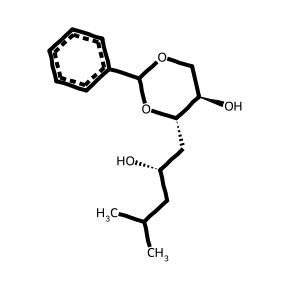 CC(C)C[C@H](O)C[C@@H]1OC(c2ccccc2)OC[C@H]1O